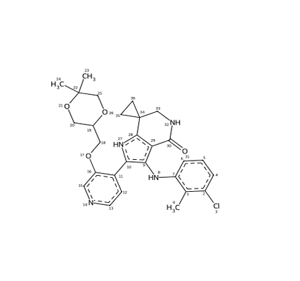 Cc1c(Cl)cccc1Nc1c(-c2ccncc2OCC2COC(C)(C)CO2)[nH]c2c1C(=O)NCC21CC1